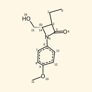 CCC1C(=O)N(c2ccc(OC)cc2)[C@@H]1CO